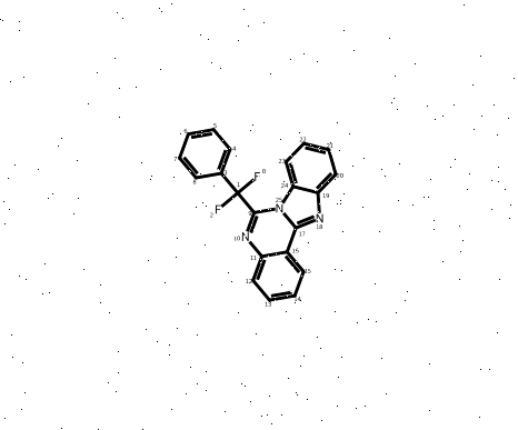 FC(F)(c1ccccc1)c1nc2ccccc2c2nc3ccccc3n12